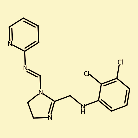 Clc1cccc(NCC2=NCCN2C=Nc2ccccn2)c1Cl